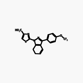 O=C(O)c1csc(-n2nc(-c3ccc(OC(F)(F)F)cc3)c3c2CCC=C3)n1